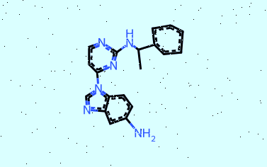 CC(Nc1nccc(-n2cnc3cc(N)ccc32)n1)c1ccccc1